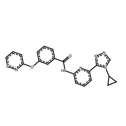 O=C(Nc1cccc(-c2nncn2C2CC2)n1)c1cccc(Oc2cccnn2)c1